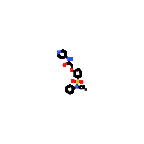 CN(c1ccccc1)S(=O)(=O)c1cccc(OCC(=O)Nc2ccncc2)c1